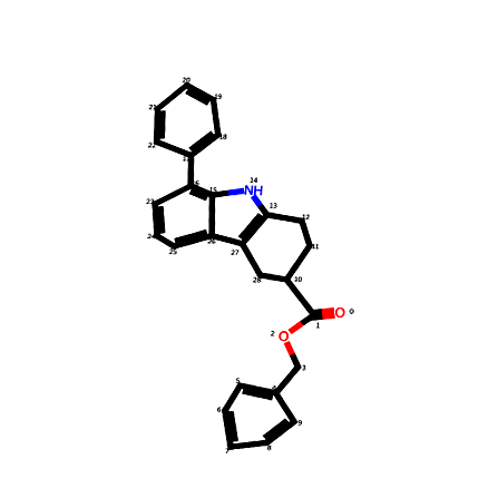 O=C(OCc1ccccc1)C1CCc2[nH]c3c(-c4ccccc4)cccc3c2C1